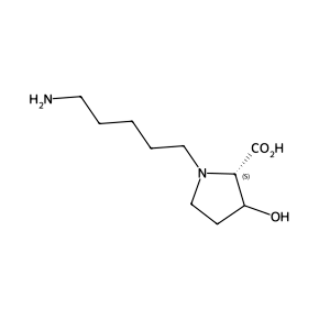 NCCCCCN1CCC(O)[C@H]1C(=O)O